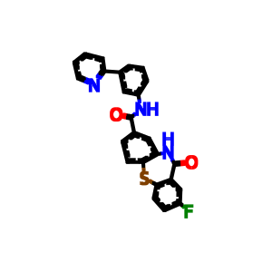 O=C(Nc1cccc(-c2ccccn2)c1)c1ccc2c(c1)NC(=O)c1cc(F)ccc1S2